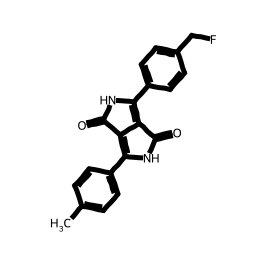 Cc1ccc(C2=C3C(=O)NC(c4ccc(CF)cc4)=C3C(=O)N2)cc1